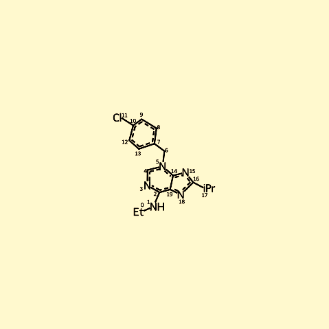 CCNc1ncn(Cc2ccc(Cl)cc2)c2nc(C(C)C)nc1-2